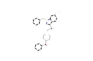 N#Cc1ccc2c(C(O)(CN3CCC(C(=O)c4ccccc4)CC3)C(F)(F)F)cn(Cc3ccccc3)c2c1